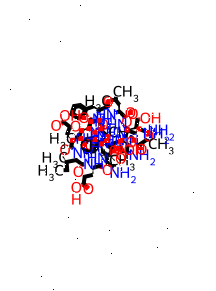 CC[C@H](C)[C@H](NC(=O)[C@H](CCC(=O)O)NC(=O)[C@@H]1CCCN1C(=O)[C@H](CCCCN)NC(=O)[C@H](CC(N)=O)NC(=O)[C@H](CC(N)=O)NC(=O)[C@H](C)N)C(=O)N[C@@H](CCC(=O)O)C(=O)N[C@@H](C)C(=O)N[C@@H](C)C(=O)N[C@@H](CC(C)C)C(=O)N[C@@H](Cc1ccccc1)C(=O)N[C@@H](CC(C)C)C(=O)N[C@@H](CC(=O)O)C(=O)N[C@@H](Cc1c[nH]c2ccccc12)C(=O)O